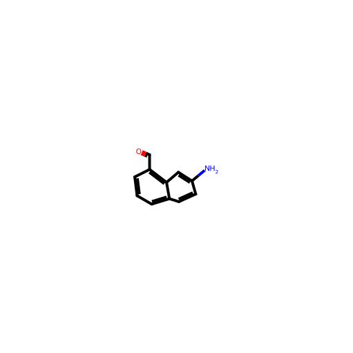 Nc1ccc2cccc(C=O)c2c1